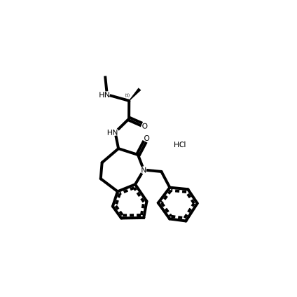 CN[C@@H](C)C(=O)NC1CCc2ccccc2N(Cc2ccccc2)C1=O.Cl